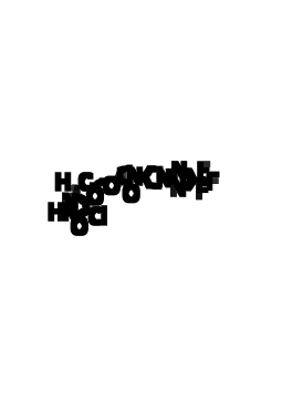 CC(CO[C@H]1CCN(C2CCN(c3ncc(C(F)(F)F)cn3)CC2)C1=O)Oc1cn[nH]c(=O)c1Cl